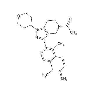 C=N/C=C\c1c(CC)ccc(-c2nn(C3CCOCC3)c3c2CN(C(C)=O)CC3)c1C